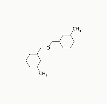 CC1CCCC(COCC2CCCC(C)C2)C1